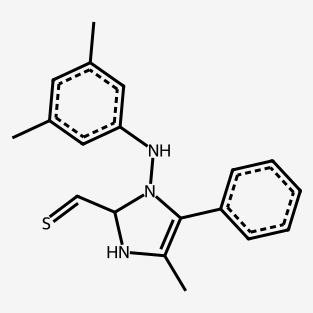 CC1=C(c2ccccc2)N(Nc2cc(C)cc(C)c2)C(C=S)N1